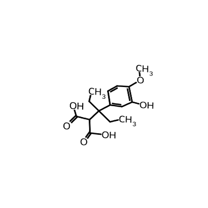 CCC(CC)(c1ccc(OC)c(O)c1)C(C(=O)O)C(=O)O